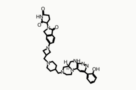 O=C1CCC(N2Cc3cc(N4CC(CN5CCC(CN6CCN7c8cc(-c9ccccc9O)nnc8NC[C@H]7C6)CC5)C4)ccc3C2=O)C(=O)N1